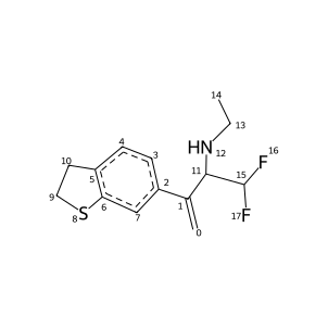 C=C(c1ccc2c(c1)SCC2)C(NCC)C(F)F